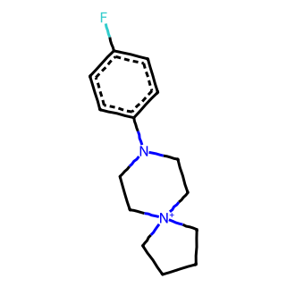 Fc1ccc(N2CC[N+]3(CCCC3)CC2)cc1